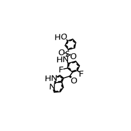 O=C(c1c(F)ccc(NS(=O)(=O)c2cccc(O)c2)c1F)c1c[nH]c2ncccc12